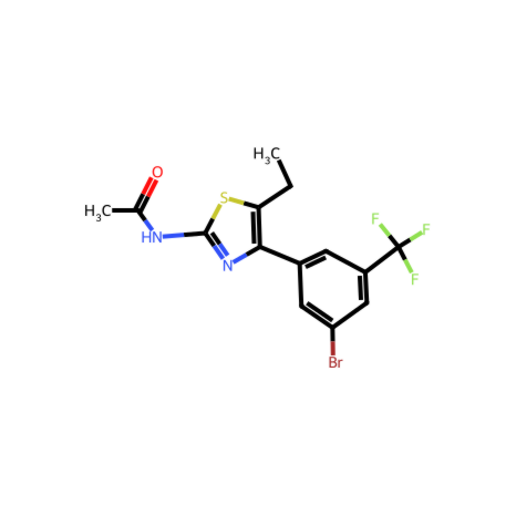 CCc1sc(NC(C)=O)nc1-c1cc(Br)cc(C(F)(F)F)c1